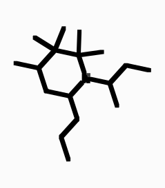 CCCC1CC(C)C(C)(C)C(C)(C)N1C(C)CC